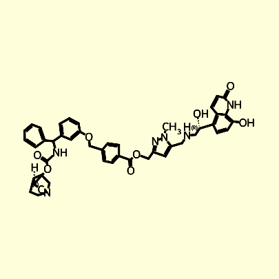 Cn1nc(COC(=O)c2ccc(COc3cccc(C(NC(=O)O[C@H]4CN5CCC4CC5)c4ccccc4)c3)cc2)cc1CNC[C@H](O)c1ccc(O)c2[nH]c(=O)ccc12